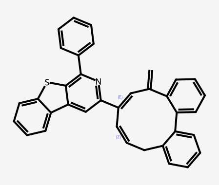 C=C1/C=C(c2cc3c(sc4ccccc43)c(-c3ccccc3)n2)\C=C/Cc2ccccc2-c2ccccc21